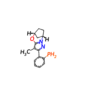 Cc1c(-c2ccccc2P)nn2c1O[C@@H]1CC[C@H]2C1